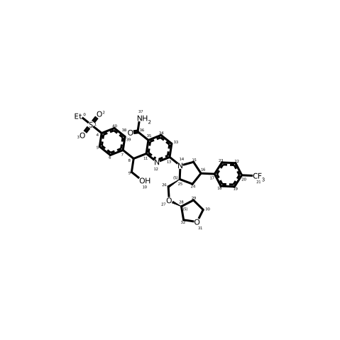 CCS(=O)(=O)c1ccc(C(CO)c2nc(N3CC(c4ccc(C(F)(F)F)cc4)C[C@H]3CO[C@H]3CCOC3)ccc2C(N)=O)cc1